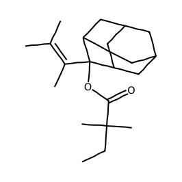 CCC(C)(C)C(=O)OC1(C(C)=C(C)C)C2CC3CC(C2)CC1C3